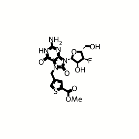 COC(=O)c1cc(Cn2c(=O)n([C@@H]3O[C@H](CO)[C@@H](F)[C@H]3O)c3nc(N)[nH]c(=O)c32)cs1